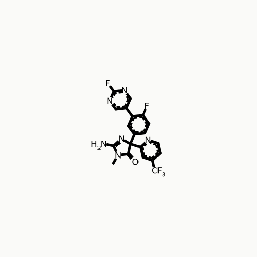 CN1C(=O)C(c2ccc(F)c(-c3cnc(F)nc3)c2)(c2cc(C(F)(F)F)ccn2)N=C1N